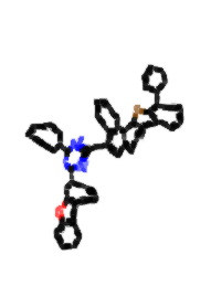 c1ccc(-c2nc(-c3ccc4c(c3)oc3ccccc34)nc(-c3cc4ccc5c6cccc(-c7ccccc7)c6sc5c4c4ccccc34)n2)cc1